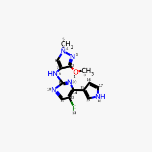 COc1nn(C)cc1Nc1ncc(F)c(-c2cc[nH]c2)n1